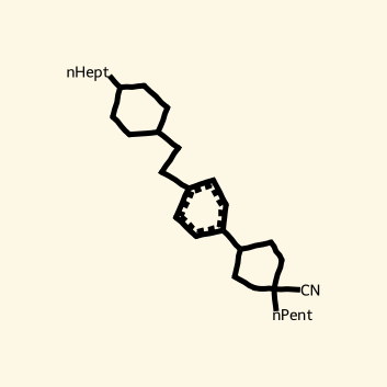 CCCCCCCC1CCC(CCc2ccc(C3CCC(C#N)(CCCCC)CC3)cc2)CC1